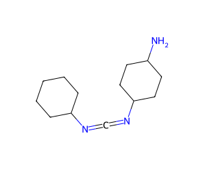 NC1CCC(N=C=NC2CCCCC2)CC1